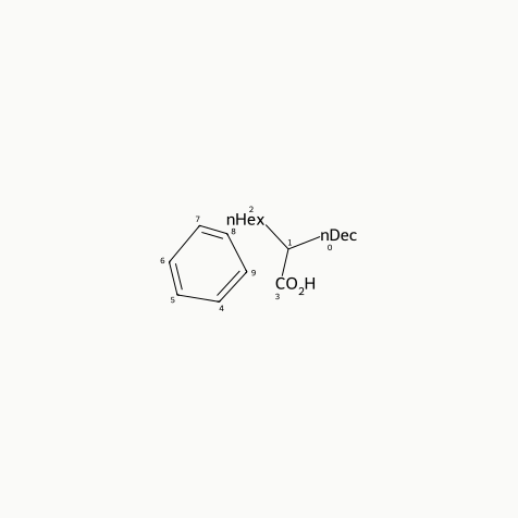 CCCCCCCCCCC(CCCCCC)C(=O)O.c1ccccc1